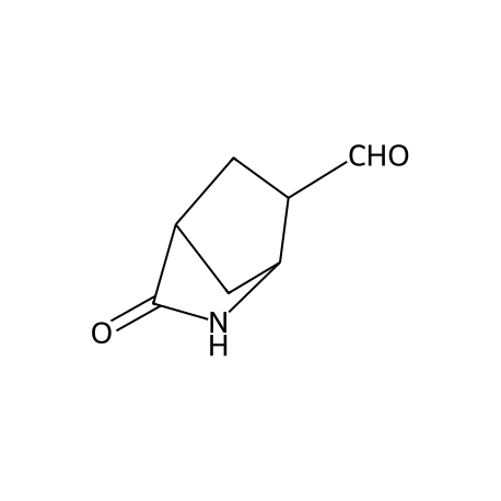 O=CC1CC2CC1NC2=O